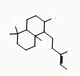 C/C=C(\O)CCC1C(C)CCC2C(C)(C)CCCC12C